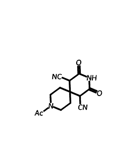 CC(=O)N1CCC2(CC1)C(C#N)C(=O)NC(=O)C2C#N